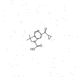 CC1(C)CN(C(=O)O)c2cc(C(=O)C3CC3)ncc21